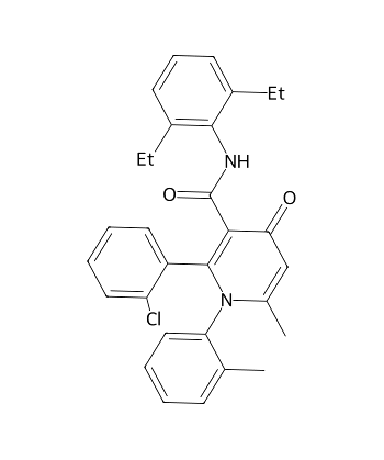 CCc1cccc(CC)c1NC(=O)c1c(-c2ccccc2Cl)n(-c2ccccc2C)c(C)cc1=O